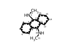 CNc1c2ccccc2c(NC)c2ccccc12